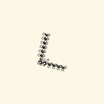 C1CCOC1.C1CCOC1.CC(=O)O.ClC(Cl)Cl.ClC(Cl)Cl.ClC(Cl)Cl.ClC(Cl)Cl.ClC(Cl)Cl.ClC(Cl)Cl.ClC(Cl)Cl.ClC(Cl)Cl.ClC(Cl)Cl.ClC(Cl)Cl